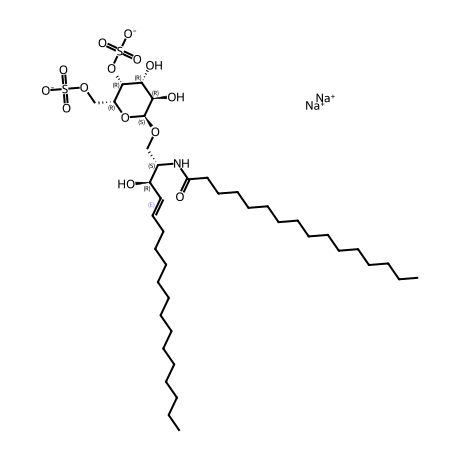 CCCCCCCCCCCCC/C=C/[C@@H](O)[C@H](CO[C@H]1O[C@H](COS(=O)(=O)[O-])[C@H](OS(=O)(=O)[O-])[C@H](O)[C@H]1O)NC(=O)CCCCCCCCCCCCCCC.[Na+].[Na+]